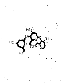 OCC1C[C@H](O)CC(OC2C(CO)OC(OC3C(CO)OCC[C@H]3O)C[C@@H]2O)O1